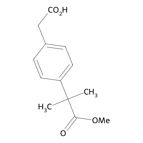 COC(=O)C(C)(C)c1ccc(CC(=O)O)cc1